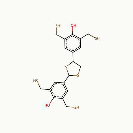 Oc1c(CS)cc(C2CSC(c3cc(CS)c(O)c(CS)c3)S2)cc1CS